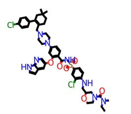 CCN(C)C(=O)N1CCOC(CNc2ccc(S(=O)(=O)NC(=O)c3ccc(N4CCN(CC5=C(c6ccc(Cl)cc6)CC(C)(C)CC5)CC4)cc3Oc3cnc4[nH]ccc4c3)cc2Cl)C1